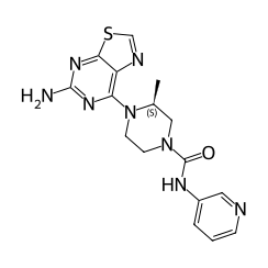 C[C@H]1CN(C(=O)Nc2cccnc2)CCN1c1nc(N)nc2scnc12